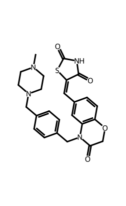 CN1CCN(Cc2ccc(CN3C(=O)COc4ccc(C=C5SC(=O)NC5=O)cc43)cc2)CC1